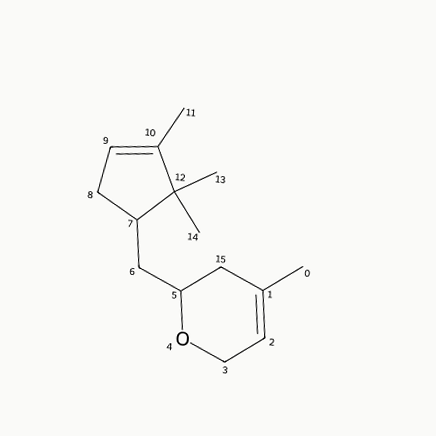 CC1=CCOC(CC2CC=C(C)C2(C)C)C1